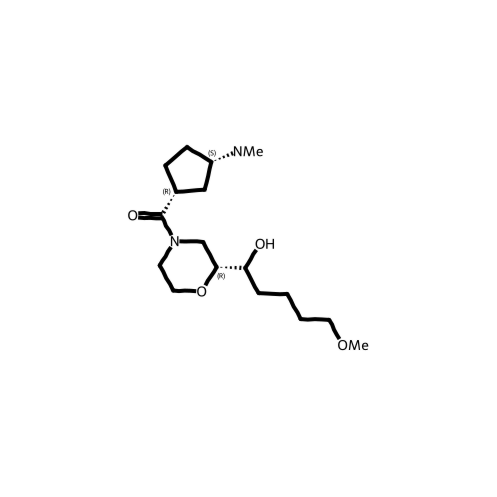 CN[C@H]1CC[C@@H](C(=O)N2CCO[C@@H](C(O)CCCCOC)C2)C1